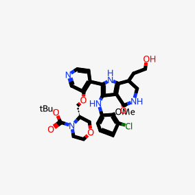 COc1c(Cl)cccc1Nc1c(-c2ccncc2OC[C@@H]2COCCN2C(=O)OC(C)(C)C)[nH]c2c1C(=O)NCC2CCO